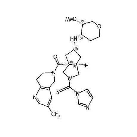 CO[C@@H]1COCC[C@@H]1N[C@@H]1C[C@H]2CN(C(=S)n3ccnc3)C[C@@]2(C(=O)N2CCc3ncc(C(F)(F)F)cc3C2)C1